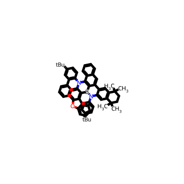 CC(C)(C)c1ccc(N2B3c4c(cc5ccccc5c4N(c4ccc(C(C)(C)C)cc4-c4ccccc4)c4ccc5oc6ccccc6c5c43)-c3cc4c(cc32)C(C)(C)CCC4(C)C)cc1